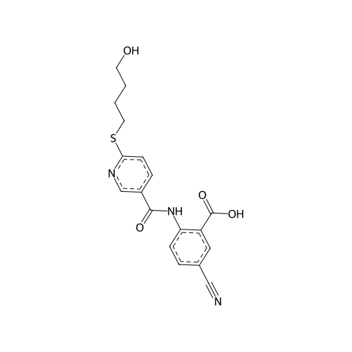 N#Cc1ccc(NC(=O)c2ccc(SCCCCO)nc2)c(C(=O)O)c1